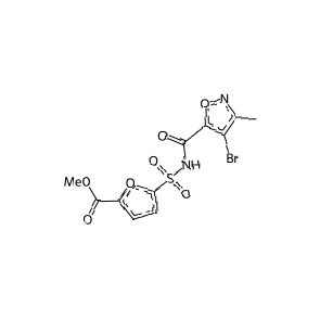 COC(=O)c1ccc(S(=O)(=O)NC(=O)c2onc(C)c2Br)o1